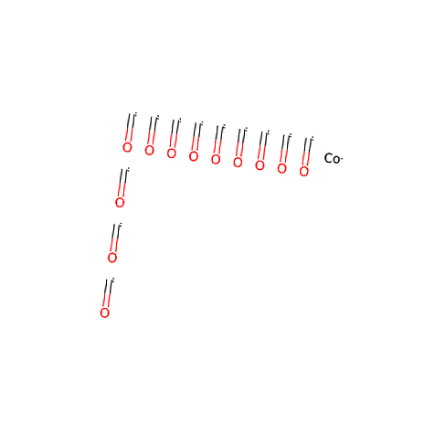 [C]=O.[C]=O.[C]=O.[C]=O.[C]=O.[C]=O.[C]=O.[C]=O.[C]=O.[C]=O.[C]=O.[C]=O.[Co]